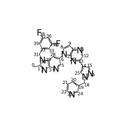 Cc1nc2ncc(-n3ccc4ncc(-c5cnn(Cc6cccnc6)c5)nc43)cc2n1Cc1cc(F)cc(F)c1